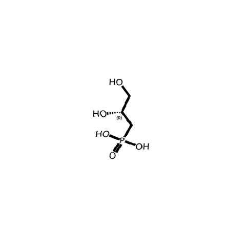 O=P(O)(O)C[C@H](O)CO